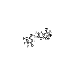 O=C(O)N(C[C@@H]1CC[C@@H](CN(C(=O)O)C(=O)C(F)(F)F)O1)C(=O)C(F)(F)F